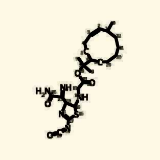 CC1/C=C\CCC(C(C)(C)OC(=O)CNC2SC(N=C=O)=NC2C(=N)C(N)=O)CCCCC1